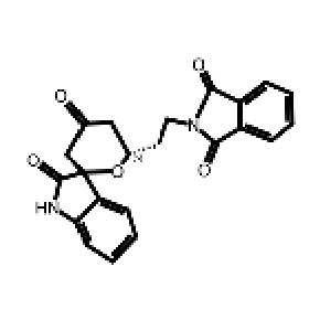 O=C1C[C@H](CCN2C(=O)c3ccccc3C2=O)OC2(C1)C(=O)Nc1ccccc12